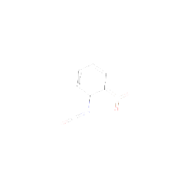 O=C=NC1C=CC=CC1=S(=O)=O